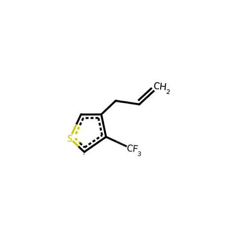 C=CCc1cs[c]c1C(F)(F)F